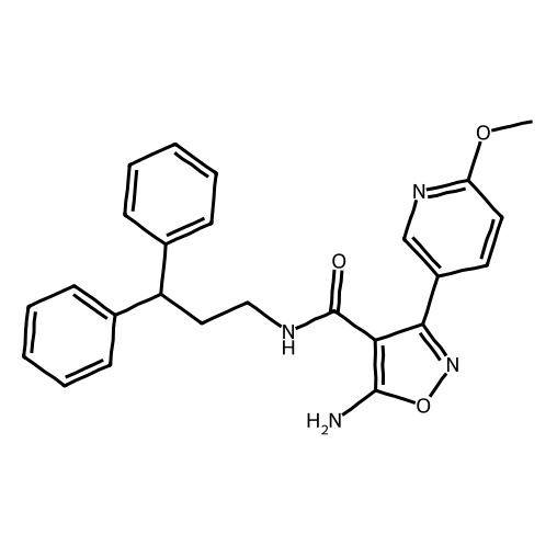 COc1ccc(-c2noc(N)c2C(=O)NCCC(c2ccccc2)c2ccccc2)cn1